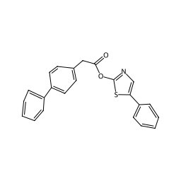 O=C(Cc1ccc(-c2ccccc2)cc1)Oc1ncc(-c2ccccc2)s1